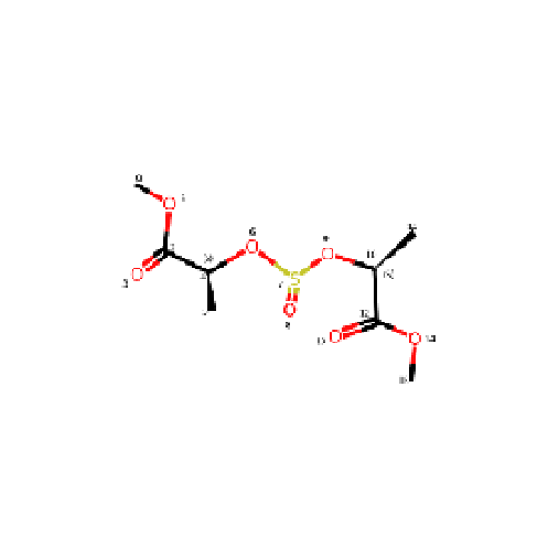 COC(=O)[C@H](C)OS(=O)O[C@@H](C)C(=O)OC